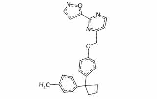 Cc1ccc(C2(c3ccc(OCc4ccnc(-c5ccno5)n4)cc3)CCC2)cc1